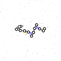 CC1CC2CC(C)C3(c4ccccc4-c4ccc(-c5ccc6c(c5)sc5cc(-n7c8ccccc8c8ccc(-c9ccc%10c%11ccccc%11n(-c%11ccc(-c%12cccc%13ccccc%12%13)cc%11)c%10c9)cc87)ccc56)cc43)C(C1)C2